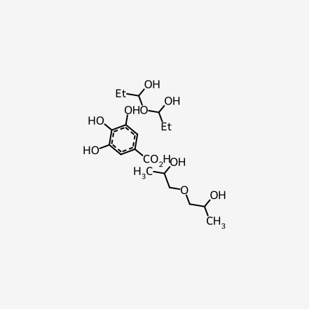 CC(O)COCC(C)O.CCC(O)OC(O)CC.O=C(O)c1cc(O)c(O)c(O)c1